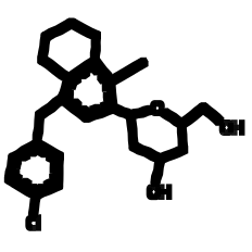 Cc1c(C2CC(O)CC(CO)O2)cc(Cc2ccc(Cl)cc2)c2c1CCCC2